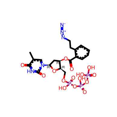 Cc1cn([C@H]2C[C@@H](OC(=O)c3ccccc3CCN=[N+]=[N-])[C@@H](COP(=O)(O)OP(=O)(O)OP(=O)(O)O)O2)c(=O)[nH]c1=O